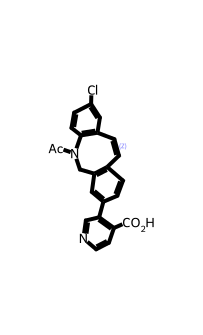 CC(=O)N1Cc2cc(-c3cnccc3C(=O)O)ccc2/C=C\c2cc(Cl)ccc21